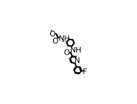 COCC(=O)NC[C@@H]1CCC[C@H](NC(=O)c2ccc(-c3cccc(F)c3)nc2)C1